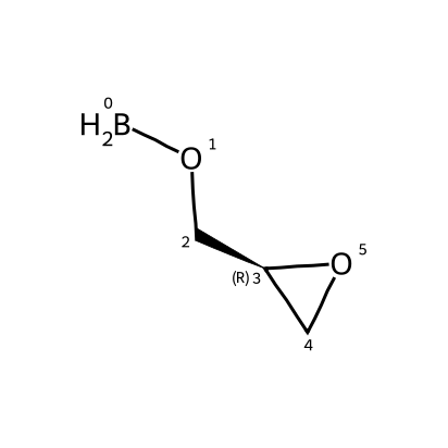 BOC[C@@H]1CO1